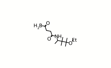 BC(=O)CCC(=O)NC(C)C(C)(C)C(C)(C)OCC